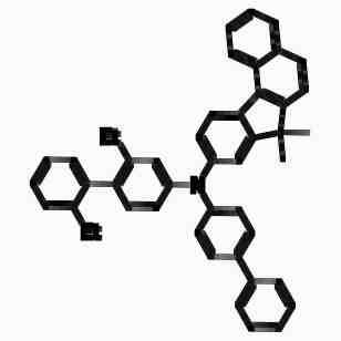 CCc1ccccc1-c1ccc(N(c2ccc(-c3ccccc3)cc2)c2ccc3c(c2)C(C)(C)c2ccc4ccccc4c2-3)cc1CC